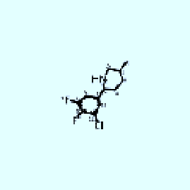 CC1CCC(c2cc(F)c(F)c(Cl)c2)NC1